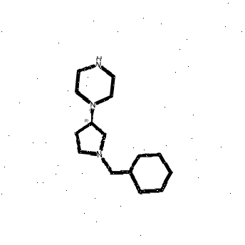 C1CCC(CN2CC[C@@H](N3CCNCC3)C2)CC1